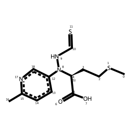 CSCC[C@@H](C(=O)O)N(NC=S)c1ccc(C)nc1